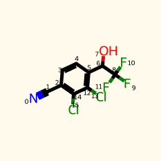 N#Cc1ccc(C(O)C(F)(F)F)c(Cl)c1Cl